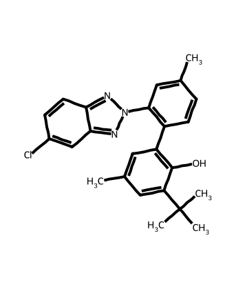 Cc1ccc(-c2cc(C)cc(C(C)(C)C)c2O)c(-n2nc3ccc(Cl)cc3n2)c1